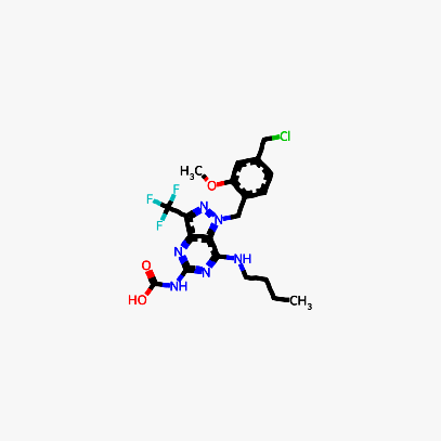 CCCCNc1nc(NC(=O)O)nc2c(C(F)(F)F)nn(Cc3ccc(CCl)cc3OC)c12